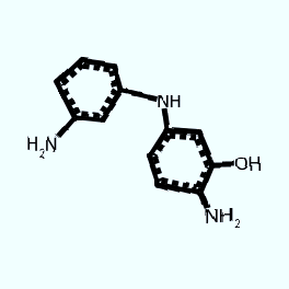 Nc1cccc(Nc2ccc(N)c(O)c2)c1